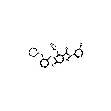 COCc1c2c(=O)n(-c3cccc(Cl)c3)[nH]c2cc(=O)n1Cc1ccccc1CN1CCOCC1